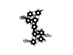 Cc1ccc(N(c2cccc(C(C)(C)C)c2)c2ccc3c4cc5c(cc4n4c6ccc(C(C)(C)C)cc6c2c34)c2ccc(N(c3ccc(C)cc3)c3cccc(C(C)(C)C)c3)c3c4cc(C(C)(C)C)ccc4n5c23)cc1